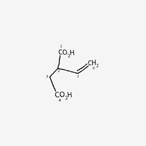 C=CC(CC(=O)O)C(=O)O